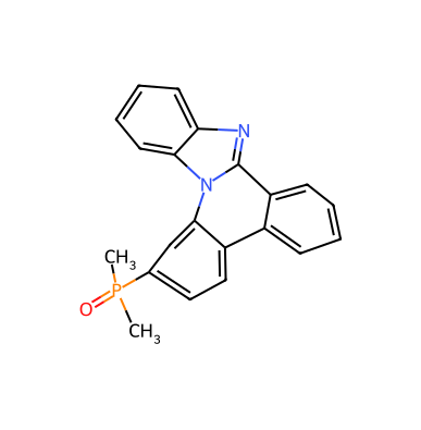 CP(C)(=O)c1ccc2c3ccccc3c3nc4ccccc4n3c2c1